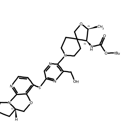 C[C@@H]1OCC2(CCN(c3ncc(Sc4ccnc5c4OC[C@@H]4C[C@H](F)CN54)nc3CO)CC2)[C@@H]1NC(=O)OC(C)(C)C